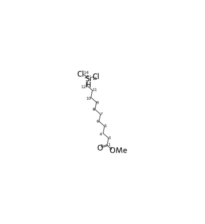 COC(=O)CCCCCCCCCC[SiH](Cl)Cl